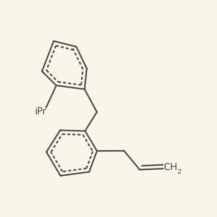 C=CCc1ccccc1Cc1ccccc1C(C)C